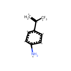 C=C(c1ccc(N)cc1)C(F)(F)F